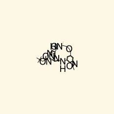 Cc1nc2cc3cc(c2o1)Nc1cc(N(C)C(=O)OC(C)(C)C)n2ncc(c2n1)C(=O)N[C@H](C)COC3